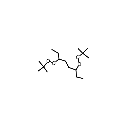 CCC(CCC(CC)OOC(C)(C)C)OOC(C)(C)C